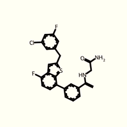 C=C(NCC(N)=O)c1cccc(-c2ccc(F)c3cc(Cc4cc(F)cc(Cl)c4)sc23)c1